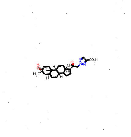 COC[C@]12CC[C@@](C)(O)C[C@@H]1CC[C@H]1[C@@H]3CC[C@H](C(=O)Cn4ncc(C(=O)O)n4)[C@@]3(C)CC[C@@H]12